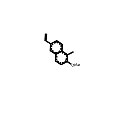 C=Cc1ccc2c(C)c(OC)ccc2c1